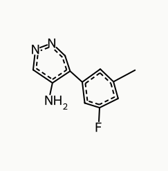 Cc1cc(F)cc(-c2cnncc2N)c1